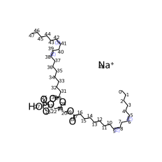 CCCCC/C=C\C/C=C\CCCCCCCC(=O)OC[C@H](COP(=O)([O-])O)OC(=O)CCCCCCC/C=C\C/C=C\CCCCC.[Na+]